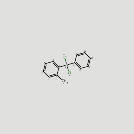 Cc1ccccc1[Si](Cl)(Cl)c1ccccc1